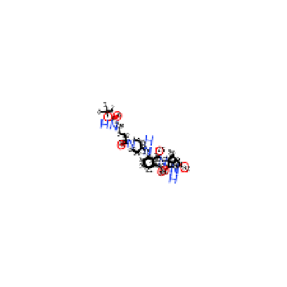 CC(C)(C)OC(=O)NCCCC(=O)N1CCC(Nc2cccc3c2C(=O)N(C24CC(C2)C(=O)NC4=O)C3=O)CC1